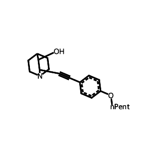 CCCCCOc1ccc(C#CC2C(O)C3CCN2CC3)cc1